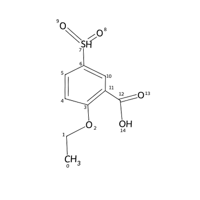 CCOc1ccc([SH](=O)=O)cc1C(=O)O